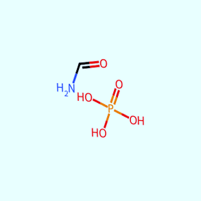 NC=O.O=P(O)(O)O